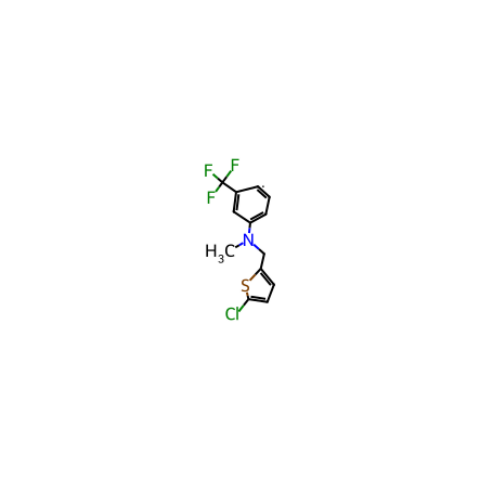 CN(Cc1ccc(Cl)s1)c1cc[c]c(C(F)(F)F)c1